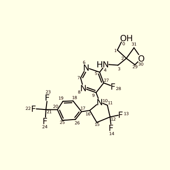 OCC1(CNc2ncnc(N3CC(F)(F)CC3c3ccc(C(F)(F)F)cc3)c2F)COC1